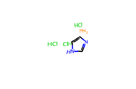 Cl.Cl.Cl.P.c1c[nH]cn1